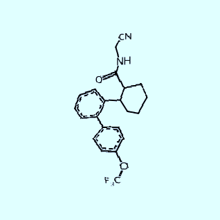 N#CCNC(=O)C1CCCCC1c1ccccc1-c1ccc(OC(F)(F)F)cc1